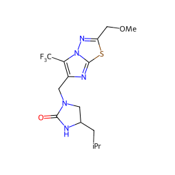 COCc1nn2c(C(F)(F)F)c(CN3CC(CC(C)C)NC3=O)nc2s1